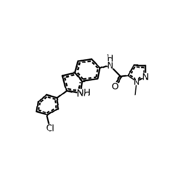 Cn1nccc1C(=O)Nc1ccc2cc(-c3cccc(Cl)c3)[nH]c2c1